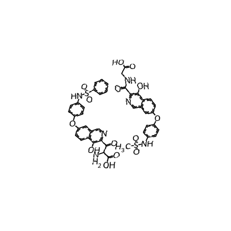 CS(=O)(=O)Nc1ccc(Oc2ccc3c(O)c(C(=O)NCC(=O)O)ncc3c2)cc1.NC(C(=O)O)C(=O)c1ncc2cc(Oc3ccc(NS(=O)(=O)c4ccccc4)cc3)ccc2c1O